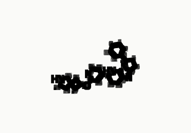 c1ccc(C2CCc3nc4c(n32)N[C@@H](c2ccnc(OC3CC5(CCNC5)C3)c2)CC4)cc1